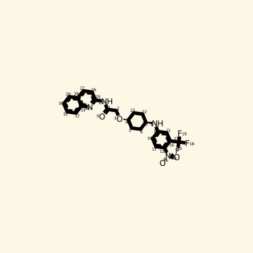 O=C(CO[C@H]1CC[C@H](Nc2ccc([N+](=O)[O-])c(C(F)(F)F)c2)CC1)Nc1ccc2ccccc2n1